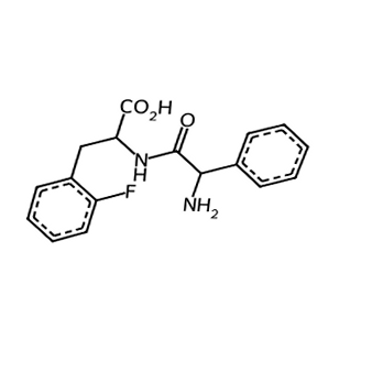 NC(C(=O)NC(Cc1ccccc1F)C(=O)O)c1ccccc1